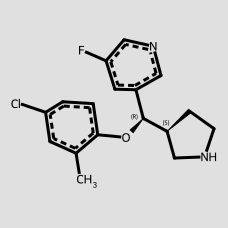 Cc1cc(Cl)ccc1O[C@@H](c1cncc(F)c1)[C@H]1CCNC1